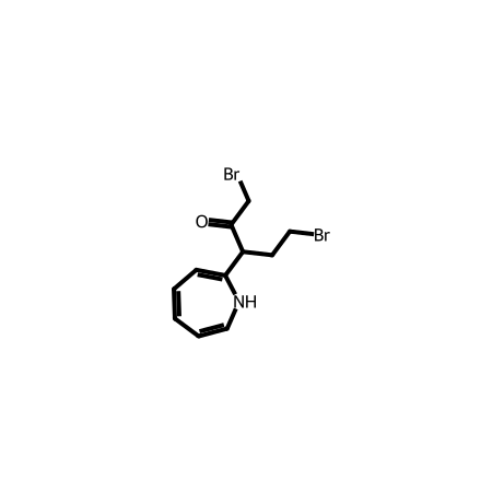 O=C(CBr)C(CCBr)C1=CC=CC=CN1